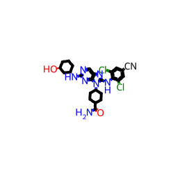 N#Cc1cc(Cl)c(Nc2nc3cnc(N[C@H]4CCC[C@H](O)C4)nc3n2C2CCC(C(N)=O)CC2)c(Cl)c1